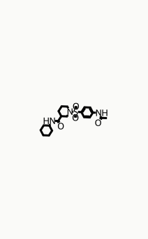 CC(=O)Nc1ccc(S(=O)(=O)N2CCCC(C(=O)NC3CCCCC3)C2)cc1